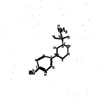 CCC(C)c1ccc(N2CCO[C@H](C(C)(C)N)C2)cn1